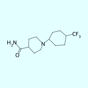 NC(=O)C1CCN(C2CCC(C(F)(F)F)CC2)CC1